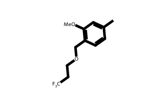 COc1cc(C)ccc1COCCC(F)(F)F